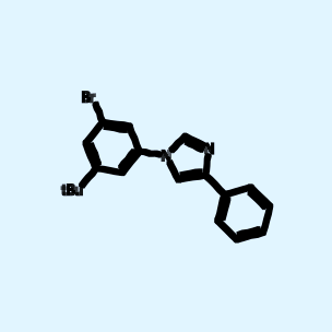 CC(C)(C)c1cc(Br)cc(-n2cnc(-c3ccccc3)c2)c1